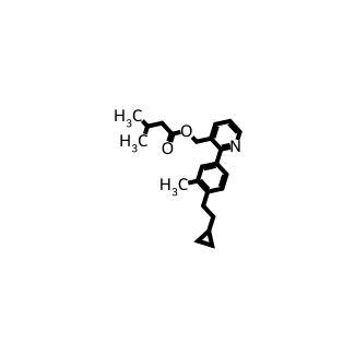 Cc1cc(-c2ncccc2COC(=O)CC(C)C)ccc1CCC1CC1